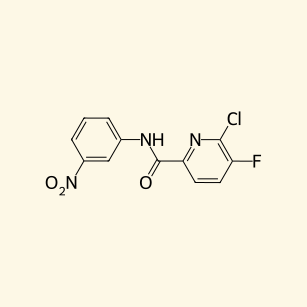 O=C(Nc1cccc([N+](=O)[O-])c1)c1ccc(F)c(Cl)n1